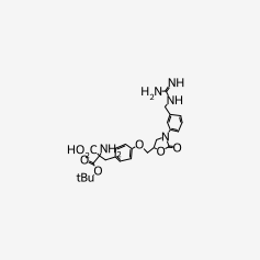 CC(C)(C)OC(=O)C(N)(Cc1ccc(OCC2CN(c3cccc(CNC(=N)N)c3)C(=O)O2)cc1)C(=O)O